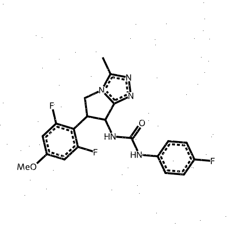 COc1cc(F)c(C2Cn3c(C)nnc3C2NC(=O)Nc2ccc(F)cc2)c(F)c1